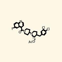 CC(=O)OC[C@@H]1CN(C2CCN(C(=O)c3ccnc4ccc(F)cc34)CC2)CCC1Cc1ccc(Cl)c(Cl)c1